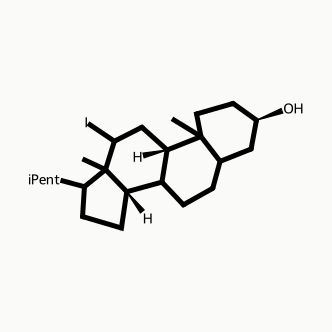 CCCC(C)C1CC[C@H]2C3CCC4C[C@H](O)CCC4(C)[C@H]3CC(I)C12C